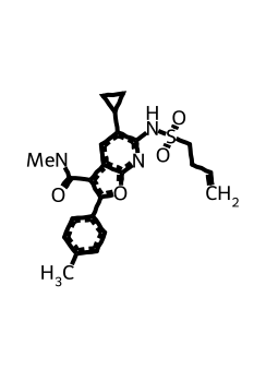 C=CCCS(=O)(=O)Nc1nc2oc(-c3ccc(C)cc3)c(C(=O)NC)c2cc1C1CC1